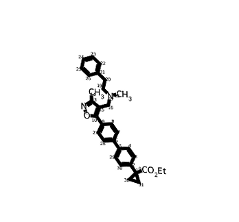 CCOC(=O)C1(c2ccc(-c3ccc(-c4onc(C)c4CN(C)CCc4ccccc4)cc3)cc2)CC1